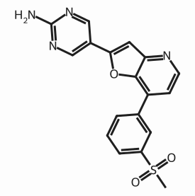 CS(=O)(=O)c1cccc(-c2ccnc3cc(-c4cnc(N)nc4)oc23)c1